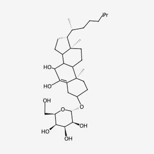 CC(C)CCC[C@@H](C)[C@H]1CCC2C3C(O)C(O)=C4CC(O[C@H]5O[C@H](CO)[C@H](O)[C@H](O)[C@@H]5O)CC[C@]4(C)C3CC[C@@]21C